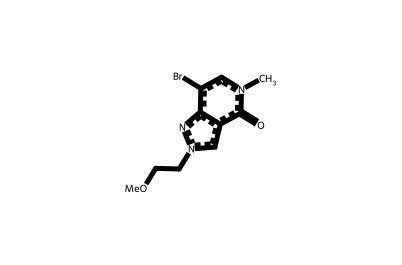 COCCn1cc2c(=O)n(C)cc(Br)c2n1